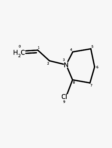 C=CCN1CCCCC1Cl